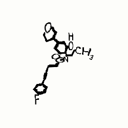 CCCC(=NOCCC#Cc1ccc(F)cc1)C1=C(O)CC(C2CCOCC2)CC1=O